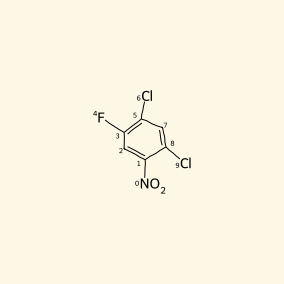 O=[N+]([O-])c1cc(F)c(Cl)cc1Cl